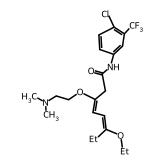 CCO/C(=C/C=C(\CC(=O)Nc1ccc(Cl)c(C(F)(F)F)c1)OCCN(C)C)CC